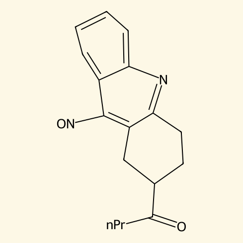 CCCC(=O)C1CCc2nc3ccccc3c(N=O)c2C1